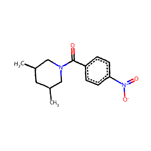 CC1CC(C)CN(C(=O)c2ccc([N+](=O)[O-])cc2)C1